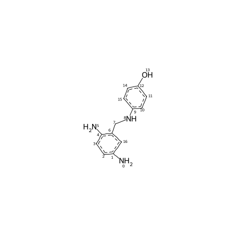 Nc1ccc(N)c(CNc2ccc(O)cc2)c1